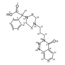 CC(C(=O)O)(c1ccccc1)N1CCN(CCCn2nnc3ccccc3c2=O)CC1